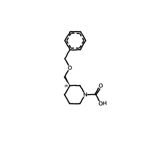 O=C(O)N1CCC[C@@H](COCc2ccccc2)C1